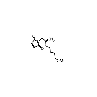 C=C(CN1C(=O)C=CC1=O)NCCCCOC